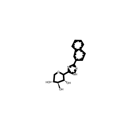 O[C@H]1[C@H](O)COC(c2nc(-c3ccc4ccccc4c3)n[nH]2)[C@@H]1O